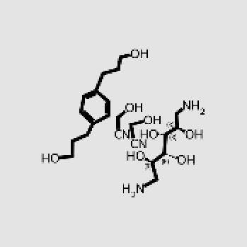 N#CCO.N#CCO.NC[C@@H](O)[C@@H](O)[C@H](O)[C@H](O)CN.OCCCc1ccc(CCCO)cc1